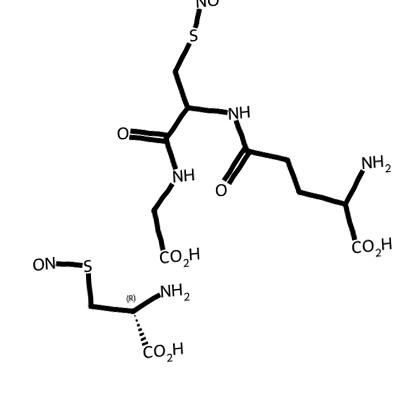 NC(CCC(=O)NC(CSN=O)C(=O)NCC(=O)O)C(=O)O.N[C@@H](CSN=O)C(=O)O